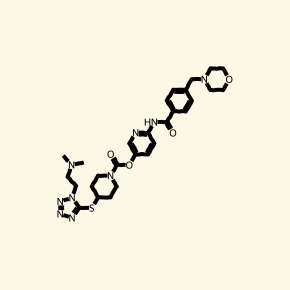 CN(C)CCn1nnnc1SC1CCN(C(=O)Oc2ccc(NC(=O)c3ccc(CN4CCOCC4)cc3)nc2)CC1